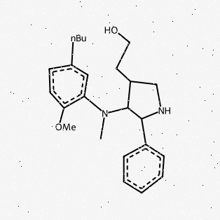 CCCCc1ccc(OC)c(N(C)C2C(CCO)CNC2c2ccccc2)c1